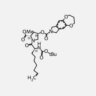 C=CCCCCC[C@H](NC(=O)OC(C)(C)C)C(=O)N1C[C@H](OC(=O)N2Cc3cc4c(cc3C2)OCCCO4)C[C@H]1C(=O)OC